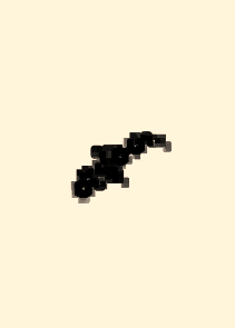 COc1ccc(-c2ccc(N([C@H](CCn3nnc4ccccc4c3=O)C(=O)O)S(C)(=O)=O)cc2)cn1